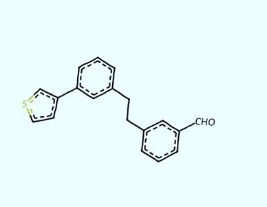 O=Cc1cccc(CCc2cccc(-c3ccsc3)c2)c1